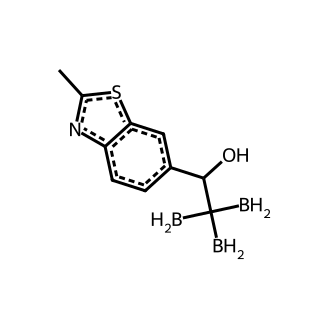 BC(B)(B)C(O)c1ccc2nc(C)sc2c1